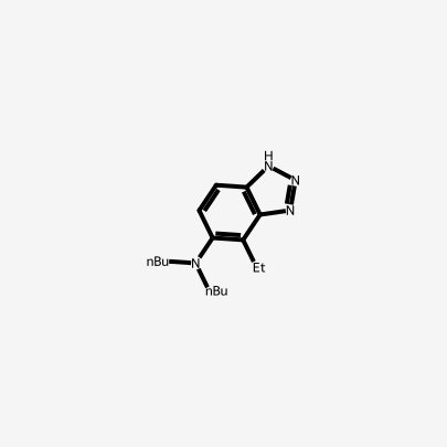 CCCCN(CCCC)c1ccc2[nH]nnc2c1CC